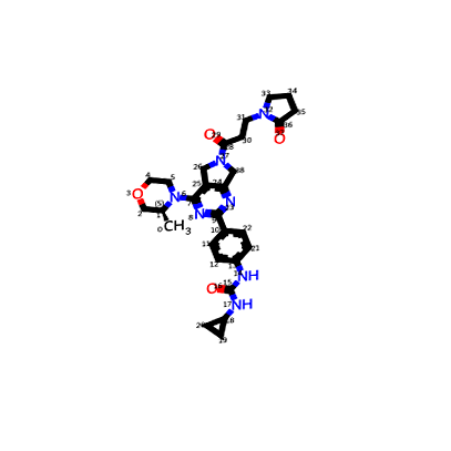 C[C@H]1COCCN1c1nc(-c2ccc(NC(=O)NC3CC3)cc2)nc2c1CN(C(=O)CCN1CCCC1=O)C2